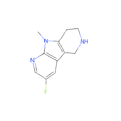 Cn1c2c(c3cc(F)cnc31)CNCC2